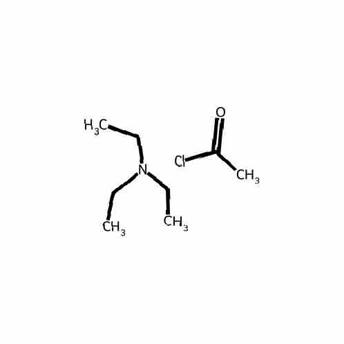 CC(=O)Cl.CCN(CC)CC